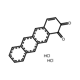 Cl.Cl.O=C1C=Cc2cc3cc4ccccc4cc3cc2C1=O